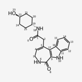 O=C(CC1=CCNC(=O)c2[nH]c3ccccc3c21)N[C@H]1CC[C@H](O)CC1